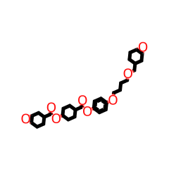 O=C(Oc1ccc(OCCCCOCC2CCC3OC3C2)cc1)C1CCC(OC(=O)C2CCC3OC3C2)CC1